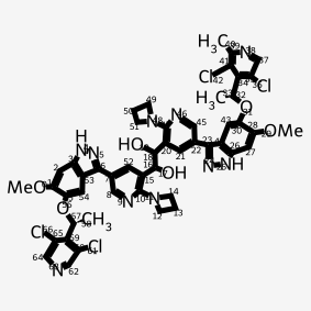 COc1cc2[nH]nc(-c3cnc(N4CCC4)c(C(O)C(O)c4cc(-c5n[nH]c6cc(OC)c(O[C@H](C)c7c(Cl)cnc(C)c7Cl)cc56)cnc4N4CCC4)c3)c2cc1O[C@H](C)c1c(Cl)cncc1Cl